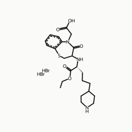 Br.Br.CCOC(=O)[C@@H](CCCC1CCNCC1)NC1CSc2ccccc2N(CC(=O)O)C1=O